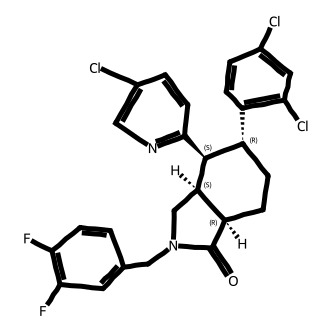 O=C1[C@@H]2CC[C@@H](c3ccc(Cl)cc3Cl)[C@H](c3ccc(Cl)cn3)[C@@H]2CN1Cc1ccc(F)c(F)c1